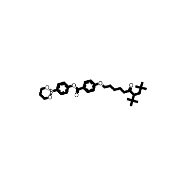 CC(C)(C)CC(C(=O)CCCCCOc1ccc(C(=O)Oc2ccc(B3OCCCO3)cc2)cc1)C(C)(C)C